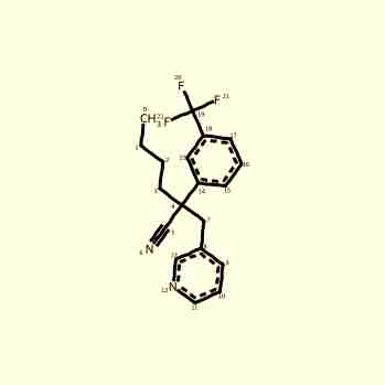 CCCCC(C#N)(Cc1cccnc1)c1cccc(C(F)(F)F)c1